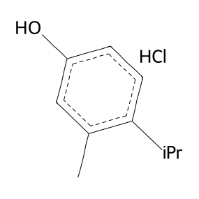 Cc1cc(O)ccc1C(C)C.Cl